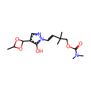 CC1OC(c2cnn(/C=C/C(C)(C)COC(=O)N(C)C)c2O)O1